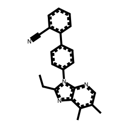 CCc1nc2c(C)c(C)cnc2n1-c1ccc(-c2ccccc2C#N)cc1